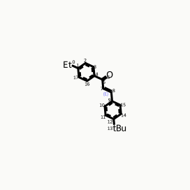 CCc1ccc(C(=O)/C=C/c2ccc(C(C)(C)C)cc2)cc1